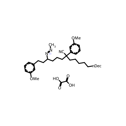 CCCCCCCCCCCCCCCC(C#N)(CCCC(CCc1cccc(OC)c1)/N=N/C)c1cccc(OC)c1.O=C(O)C(=O)O